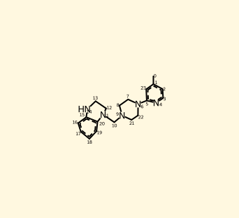 Cc1ccnc(N2CCN(CN3CCNc4ccccc43)CC2)c1